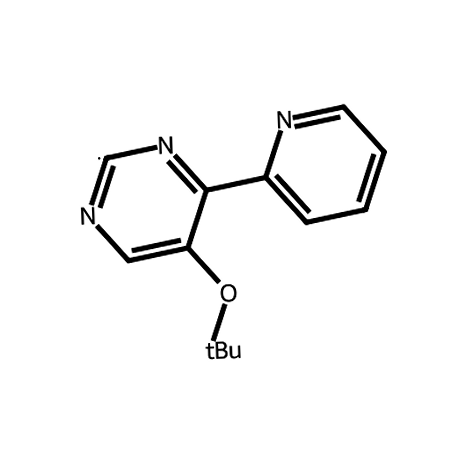 CC(C)(C)Oc1cn[c]nc1-c1ccccn1